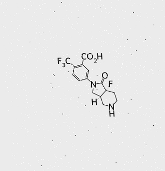 O=C(O)c1cc(N2C[C@@H]3CNCC[C@]3(F)C2=O)ccc1C(F)(F)F